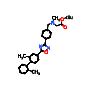 Cc1ccccc1-c1ccc(-c2nc(-c3ccc(CN(C)CC(=O)OC(C)(C)C)cc3)no2)cc1C